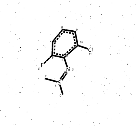 CS(C)=Nc1c(F)cccc1Cl